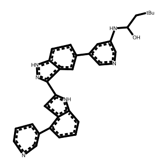 CC(C)(C)CC(O)Nc1cncc(-c2ccc3[nH]nc(-c4cc5c(-c6cccnc6)cccc5[nH]4)c3c2)c1